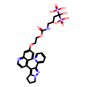 O=C(NCCCC(O)(P(=O)(O)O)P(=O)(O)O)OCCOc1ccc2c(-c3c(-c4ccccn4)nn4c3CCC4)ccnc2c1